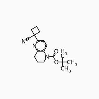 CC(C)(C)OC(=O)N1CCCc2nc(C3(C#N)CCC3)ccc21